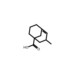 CC1C=C2CCCC(C(=O)O)(C2)C1